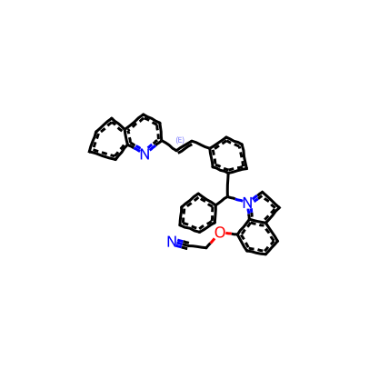 N#CCOc1cccc2ccn(C(c3ccccc3)c3cccc(/C=C/c4ccc5ccccc5n4)c3)c12